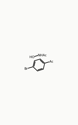 CC(=O)NO.CC(=O)c1ccc(Br)cc1